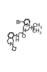 CN(C)CCN(Cc1ncccc1Br)C(=O)CNc1cccc2c1CN(C1CCC1)CC2